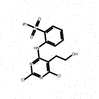 CC(C)S(=O)(=O)c1ccccc1Nc1nc(Cl)nc(Cl)c1CCO